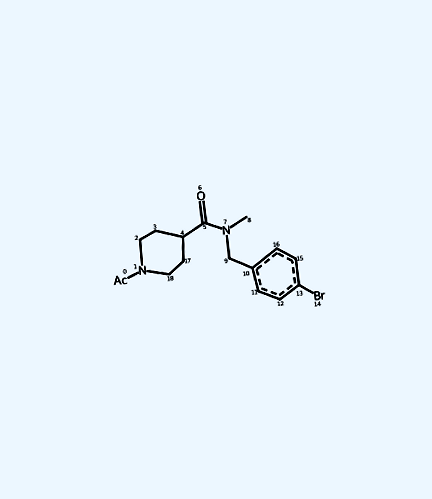 CC(=O)N1CCC(C(=O)N(C)Cc2ccc(Br)cc2)CC1